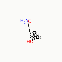 C=C(c1ccccc1)C12CCC(O)C1CC(CCCCCCCCCC(N)=O)=C2c1ccccc1